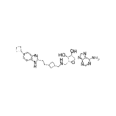 Nc1ncnc2c1ncn2[C@@H]1O[C@H](CNCC2CC(CCc3nc4cc(C5CCC5)ccc4[nH]3)C2)[C@@H](O)[C@H]1O